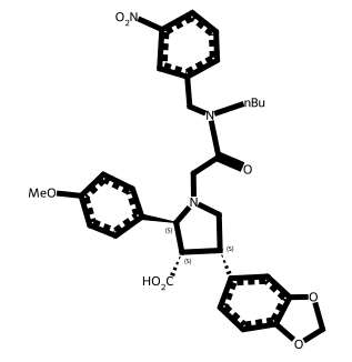 CCCCN(Cc1cccc([N+](=O)[O-])c1)C(=O)CN1C[C@H](c2ccc3c(c2)OCO3)[C@H](C(=O)O)[C@H]1c1ccc(OC)cc1